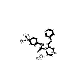 CN(C)c1ccc(NC(=O)N2CCNCC2COc2cccnc2)cc1.Cl.Cl